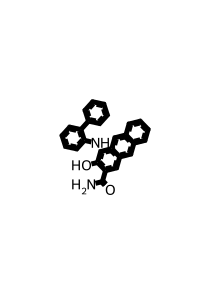 NC(=O)c1cc2cc3ccccc3cc2cc1O.Nc1ccccc1-c1ccccc1